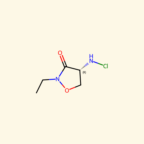 CCN1OC[C@@H](NCl)C1=O